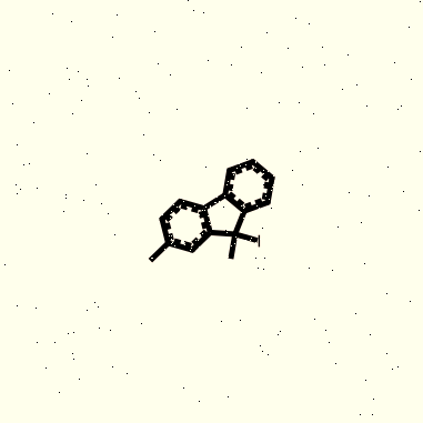 Cc1ccc2c(c1)C(C)(I)c1ccccc1-2